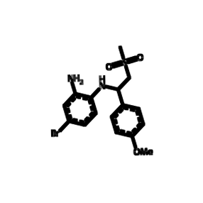 COc1ccc(C(CS(C)(=O)=O)Nc2ccc(Br)cc2N)cc1